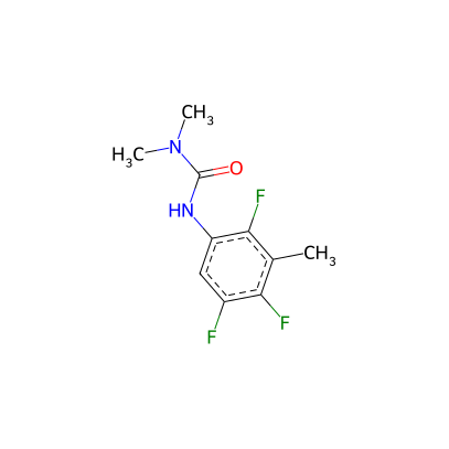 Cc1c(F)c(F)cc(NC(=O)N(C)C)c1F